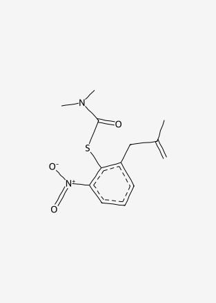 C=C(C)Cc1cccc([N+](=O)[O-])c1SC(=O)N(C)C